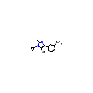 CCCCc1c(-c2cccc([N+](=O)[O-])c2)nc(C)n1C1CC1